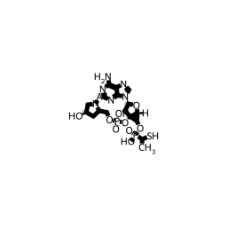 CC(=O)N1C[C@H](O)CC1COP(=O)(O)O[C@@]12C[C@H](n3cnc4c(N)ncnc43)O[C@@H]1C2OP(=O)(O)C(C)S